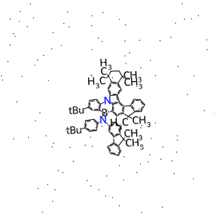 CC(C)(C)c1ccc(N2B3c4cc(C(C)(C)C)ccc4-n4c5cc6c(cc5c5c7c(c(c3c54)-c3cc4c(cc32)-c2ccccc2C4(C)C)C(C)(C)c2ccccc2-7)C(C)(C)CCC6(C)C)cc1